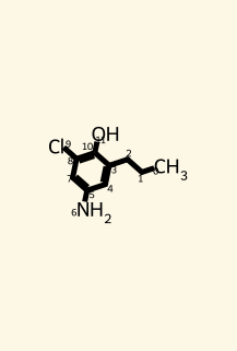 CCCc1cc(N)cc(Cl)c1O